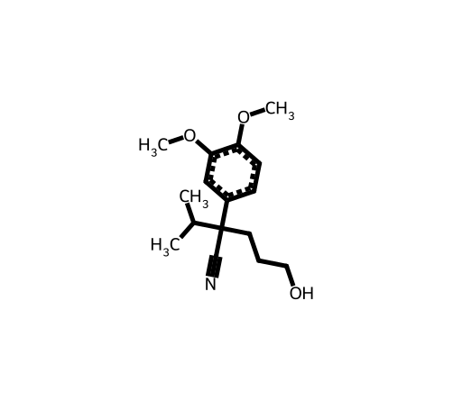 COc1ccc(C(C#N)(CCCO)C(C)C)cc1OC